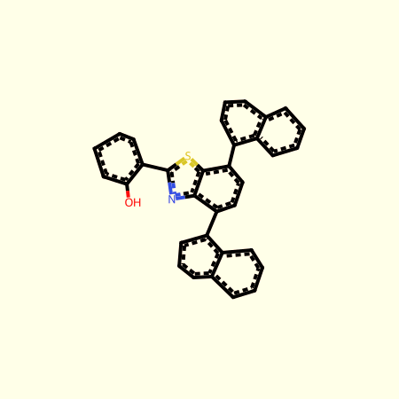 Oc1ccccc1-c1nc2c(-c3cccc4ccccc34)ccc(-c3cccc4ccccc34)c2s1